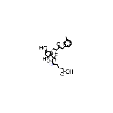 Cc1cccc(C[C@@H](O)C=C[C@@H]2[C@@H]3[C@H](C[C@H]2O)O/C(=C/CCCC(=O)O)C3(F)F)c1